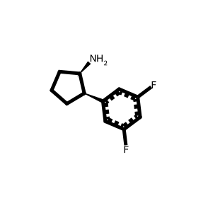 N[C@@H]1CCC[C@@H]1c1cc(F)cc(F)c1